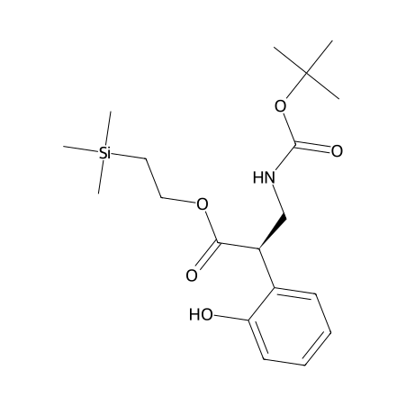 CC(C)(C)OC(=O)NC[C@H](C(=O)OCC[Si](C)(C)C)c1ccccc1O